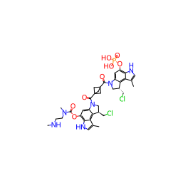 CNCCN(C)C(=O)Oc1cc2c(c3c(C)c[nH]c13)[C@H](CCl)CN2C(=O)C12CC(C(=O)N3C[C@@H](CCl)c4c3cc(OP(=O)(O)O)c3[nH]cc(C)c43)(C1)C2